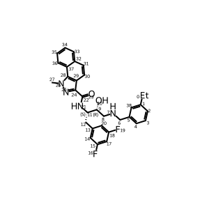 CCc1cccc(CNC[C@@H](O)[C@H](Cc2cc(F)cc(F)c2)NC(=O)c2nn(C)c3c2ccc2ccccc23)c1